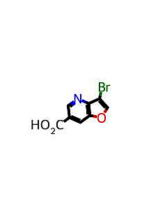 O=C(O)c1cnc2c(Br)coc2c1